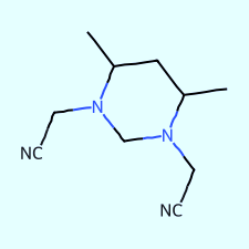 CC1CC(C)N(CC#N)CN1CC#N